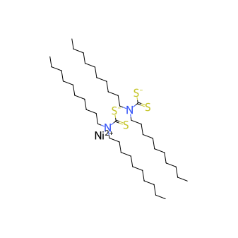 CCCCCCCCCCN(CCCCCCCCCC)C(=S)[S-].CCCCCCCCCCN(CCCCCCCCCC)C(=S)[S-].[Ni+2]